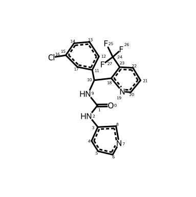 O=C(Nc1cccnc1)NC(c1cccc(Cl)c1)c1ncccc1C(F)(F)F